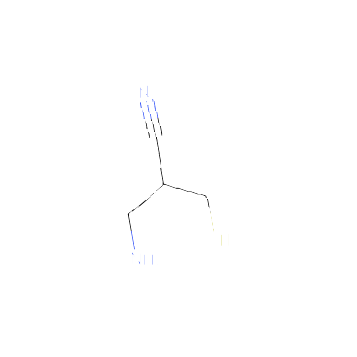 N#CC(CN)CS